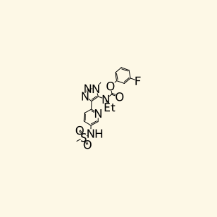 CCN(C(=O)Oc1cccc(F)c1)c1c(-c2ccc(NS(C)(=O)=O)cn2)nnn1C